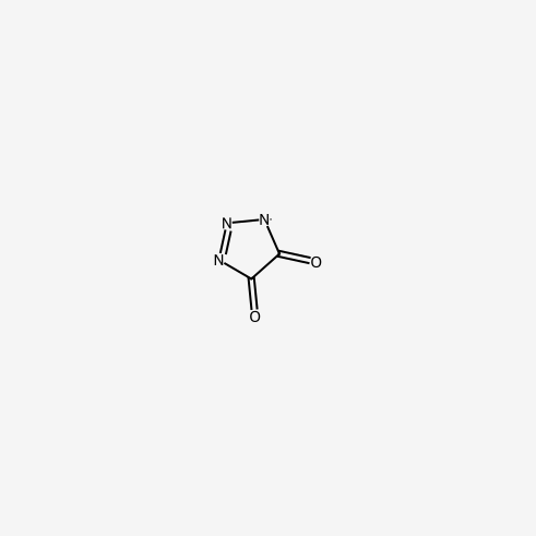 O=C1[N]N=NC1=O